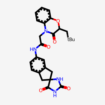 CC(C)(C)CC1Oc2ccccc2N(CC(=O)Nc2ccc3c(c2)CC2(C3)NC(=O)NC2=O)C1=O